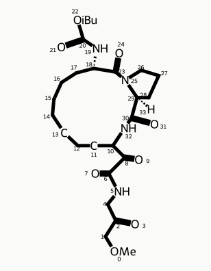 COCC(=O)CNC(=O)C(=O)C1CCCCCCC[C@H](NC(=O)OCC(C)C)C(=O)N2CCC[C@H]2C(=O)N1